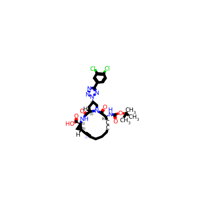 CC(C)(C)OC(=O)N[C@@H]1CCCCC/C=C\[C@@H]2C[C@]2(C(=O)O)NC(=O)[C@@H]2C[C@H](n3nnc(-c4ccc(Cl)c(Cl)c4)n3)CN2C1=O